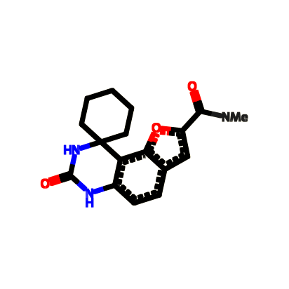 CNC(=O)c1cc2ccc3c(c2o1)C1(CCCCC1)NC(=O)N3